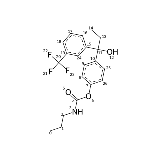 CCCNC(=O)Oc1ccc(C(O)(CC)c2cccc(C(F)(F)F)c2)cc1